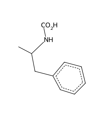 CC(Cc1ccccc1)NC(=O)O